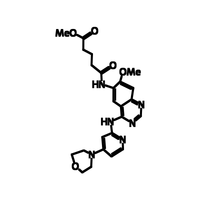 COC(=O)CCCC(=O)Nc1cc2c(Nc3cc(N4CCOCC4)ccn3)ncnc2cc1OC